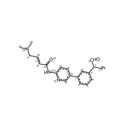 CC(C)C(C=O)c1cccc(-c2ccc(NC(=O)/C=C/CN(C)C)nc2)c1